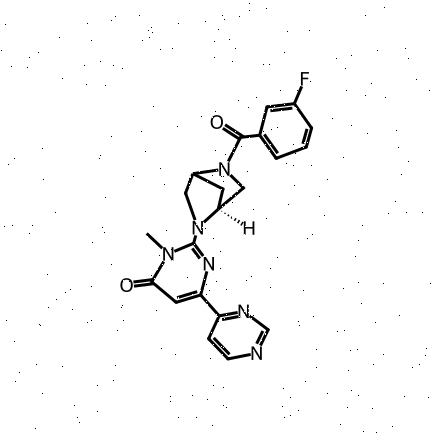 Cn1c(N2CC3C[C@H]2CN3C(=O)c2cccc(F)c2)nc(-c2ccncn2)cc1=O